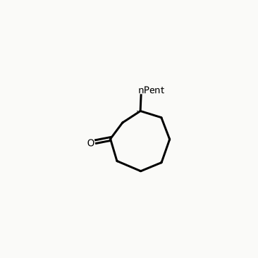 CCCCC[C]1CCCCCC(=O)C1